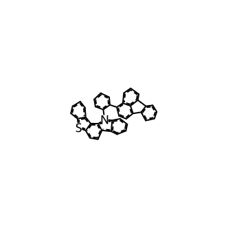 c1ccc2c(c1)-c1cccc3c(-c4ccccc4-n4c5ccccc5c5ccc6sc7ccccc7c6c54)ccc-2c13